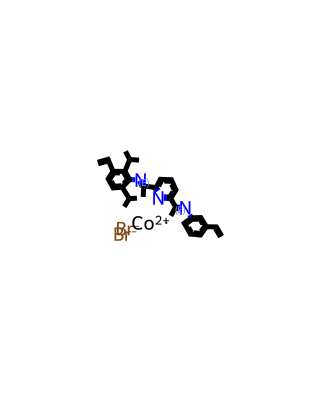 C=Cc1cccc(/N=C(\C)c2cccc(/C(C)=N/c3c(C(C)C)ccc(C=C)c3C(C)C)n2)c1.[Br-].[Br-].[Co+2]